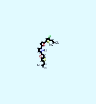 CCn1c(-c2ccc(-c3cc(Cl)c(C=C(C#N)C#N)s3)o2)ccc1C1Cc2sc(C=C(C#N)C#N)cc2O1